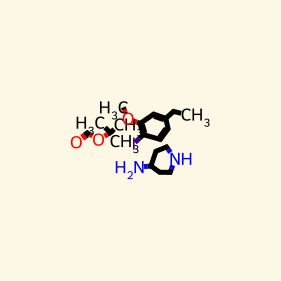 CC(C)(C)OC=O.CCc1ccc(I)c(OC)c1.NC1CCNCC1